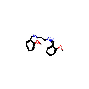 COc1ccccc1/C=N\CCC/N=C\c1ccccc1OC